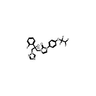 O=c1n(C[C@](O)(Cn2cncn2)c2ccccc2F)ccn1-c1ccc(OC(F)(F)C(F)F)cc1